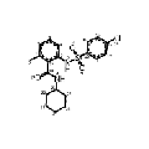 Cc1cccc(NS(=O)(=O)c2ccc(Cl)cc2)c1C(=O)NC1CCCCC1